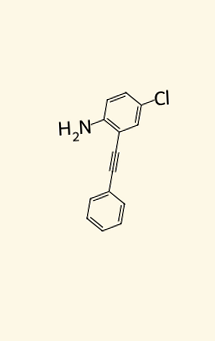 Nc1ccc(Cl)cc1C#Cc1ccccc1